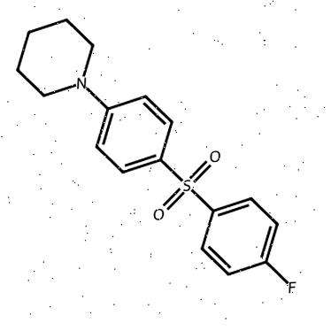 O=S(=O)(c1ccc(F)cc1)c1ccc(N2CCCCC2)cc1